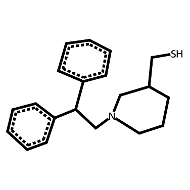 SCC1CCCN(CC(c2ccccc2)c2ccccc2)C1